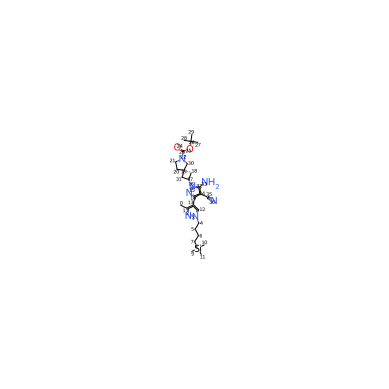 Cc1nn(CCCC[Si](C)(C)C)cc1-c1nn([C@H]2C[C@@]3(CCN(C(=O)OC(C)(C)C)C3)C2)c(N)c1C#N